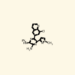 CC(C)Nc1nc(-c2cc(Cl)c3ncccc3c2)c(-c2ccn(C)n2)nc1N